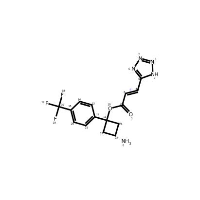 N.O=C(/C=C/c1nnn[nH]1)OC1(c2ccc(C(F)(F)F)cc2)CCC1